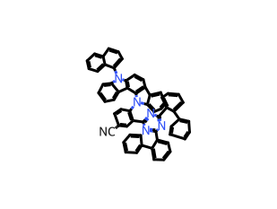 N#Cc1ccc(-n2c3ccccc3c3ccc4c(c5ccccc5n4-c4cccc5ccccc45)c32)c(-c2nc(-c3ccccc3-c3ccccc3)nc(-c3ccccc3-c3ccccc3)n2)c1